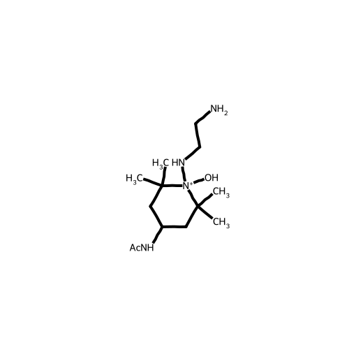 CC(=O)NC1CC(C)(C)[N+](O)(NCCN)C(C)(C)C1